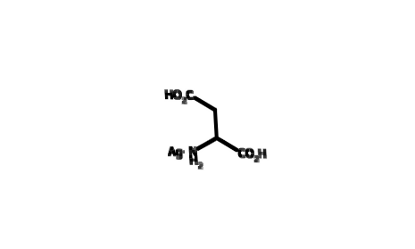 NC(CC(=O)O)C(=O)O.[Ag]